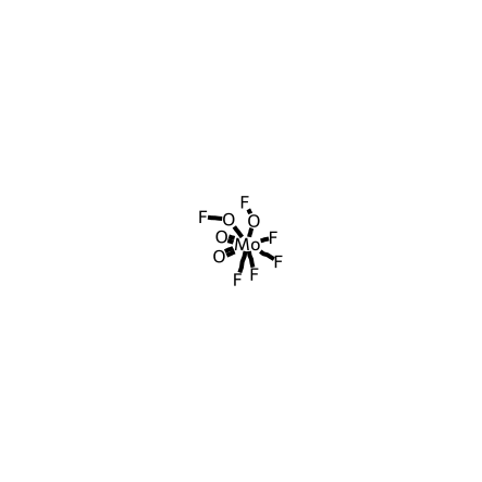 [O]=[Mo](=[O])([F])([F])([F])([F])([O]F)[O]F